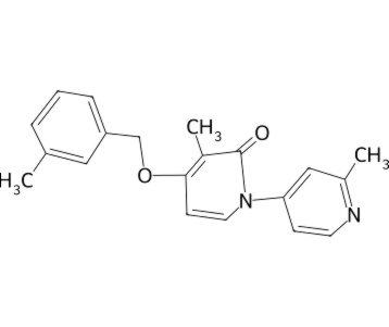 Cc1cccc(COc2ccn(-c3ccnc(C)c3)c(=O)c2C)c1